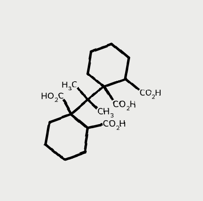 CC(C)(C1(C(=O)O)CCCCC1C(=O)O)C1(C(=O)O)CCCCC1C(=O)O